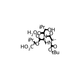 CC(C)C(O)C(=O)N(C(=O)[C@H](C)NC(=O)OC(C)(C)C)[C@@H](C)C(=O)O[C@H](C(=O)O)C(C)C.O